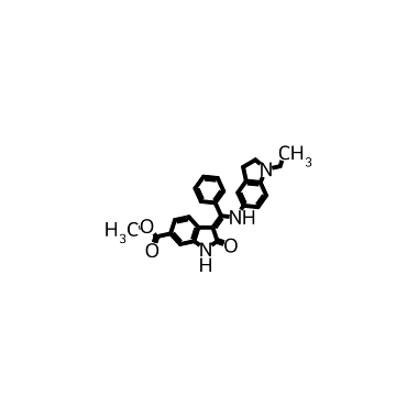 CCN1CCc2cc(N/C(=C3\C(=O)Nc4cc(C(=O)OC)ccc43)c3ccccc3)ccc21